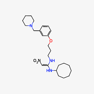 O=[N+]([O-])C=C(NCCCOc1cccc(CN2CCCCC2)c1)NC1CCCCCCC1